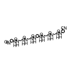 N#Cc1cccc(NC(=O)NCCCNC(=O)NCCCNC(=O)Nc2cccc(NC(=O)NCCCNC(=O)NCCCNC(=O)Nc3cccc(N=C=O)c3)c2)c1